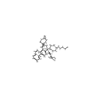 C1CNCCN1.CCCCCC1CCC(C2(C#C[Si](C)(C)C)CCCc3c2ccc2c3ccc3ccccc32)CC1